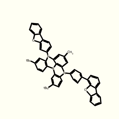 Cc1cc2c3c(c1)N(c1ccc4c(c1)oc1ccccc14)c1cc(C(C)(C)C)ccc1B3c1cc(C(C)(C)C)ccc1N2c1ccc(-c2cccc3c2oc2ccccc23)cc1